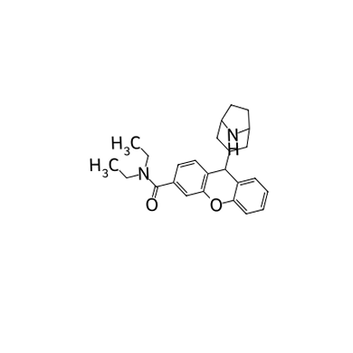 CCN(CC)C(=O)c1ccc2c(c1)Oc1ccccc1C2C1CC2CCC(C1)N2